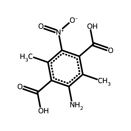 Cc1c(N)c(C(=O)O)c(C)c([N+](=O)[O-])c1C(=O)O